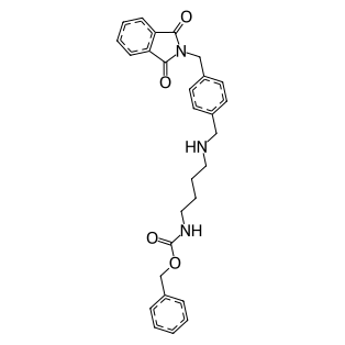 O=C(NCCCCNCc1ccc(CN2C(=O)c3ccccc3C2=O)cc1)OCc1ccccc1